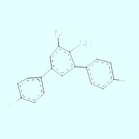 Nc1c(-c2ccc(F)cc2)cc(-c2ccc(F)cc2)cc1[N+](=O)[O-]